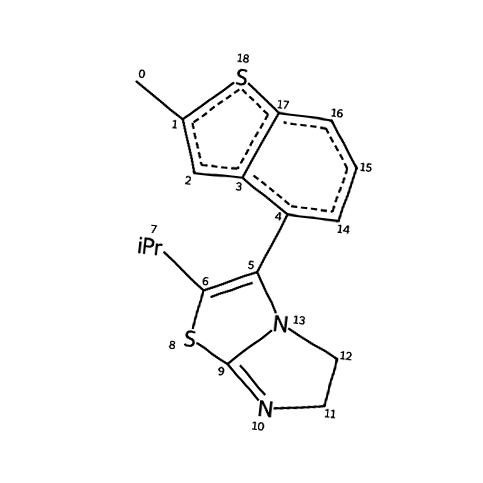 Cc1cc2c(C3=C(C(C)C)SC4=NCCN43)cccc2s1